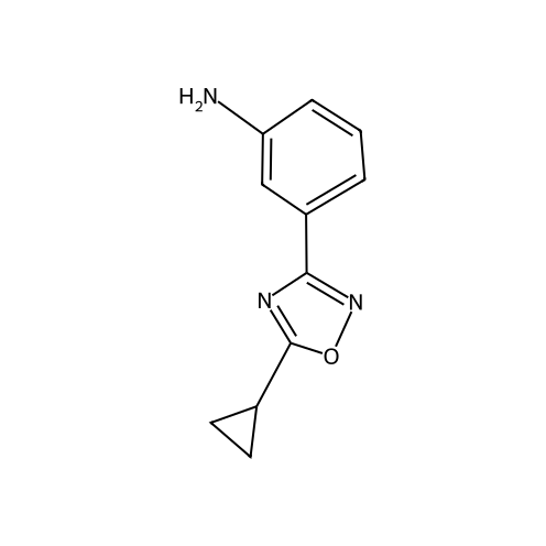 Nc1cccc(-c2noc(C3CC3)n2)c1